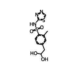 Cc1cc(CC(O)O)ccc1S(=O)(=O)Nc1nncs1